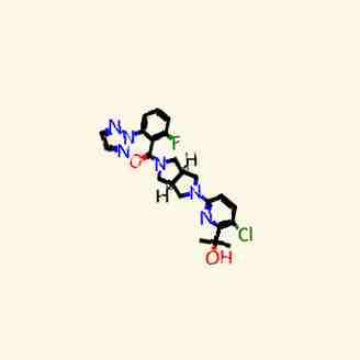 CC(C)(O)c1nc(N2C[C@H]3CN(C(=O)c4c(F)cccc4-n4nccn4)C[C@H]3C2)ccc1Cl